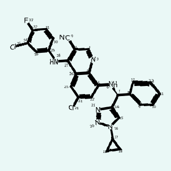 N#Cc1cnc2c(N[C@@H](c3ccccc3)c3cn(C4CC4)nn3)cc(Cl)cc2c1Nc1ccc(F)c(Cl)c1